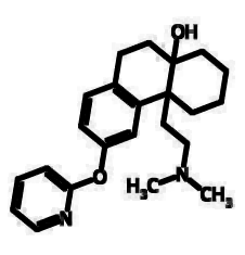 CN(C)CCC12CCCCC1(O)CCc1ccc(Oc3ccccn3)cc12